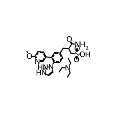 CCN(CC)CC[C@H](C(Cc1ccc(N2C=CNN2)c(-c2ccc(OC)nc2)c1)C(N)=O)S(=O)(=O)O